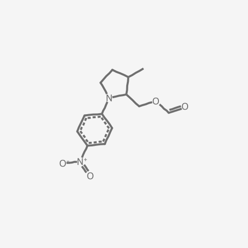 CC1CCN(c2ccc([N+](=O)[O-])cc2)C1COC=O